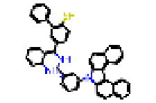 NC1C=CC=C/C1=C(/NCc1cccc(-n2c3ccc4ccccc4c3c3c4ccccc4ccc32)c1)c1ccc(S)c(-c2ccccc2)c1